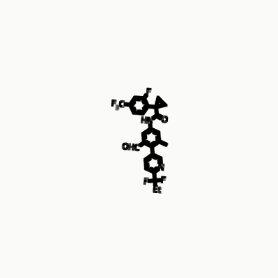 CCC(F)(F)c1ccc(-c2c(C)cc(NC(=O)C3(c4ccc(C(F)(F)F)cc4F)CC3)cc2C=O)cn1